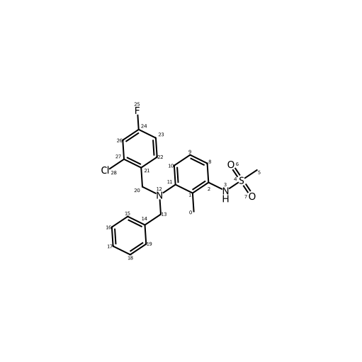 Cc1c(NS(C)(=O)=O)cccc1N(Cc1ccccc1)Cc1ccc(F)cc1Cl